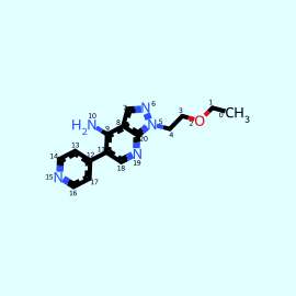 CCOCCn1ncc2c(N)c(-c3ccncc3)cnc21